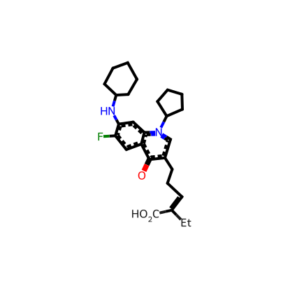 CCC(=CCCc1cn(C2CCCC2)c2cc(NC3CCCCC3)c(F)cc2c1=O)C(=O)O